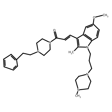 COc1ccc2c(c1)c(/C=C/C(=O)N1CCN(CCc3ccccc3)CC1)c(C)n2CCCN1CCN(C)CC1